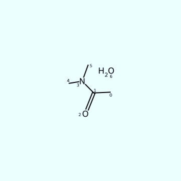 CC(=O)N(C)C.O